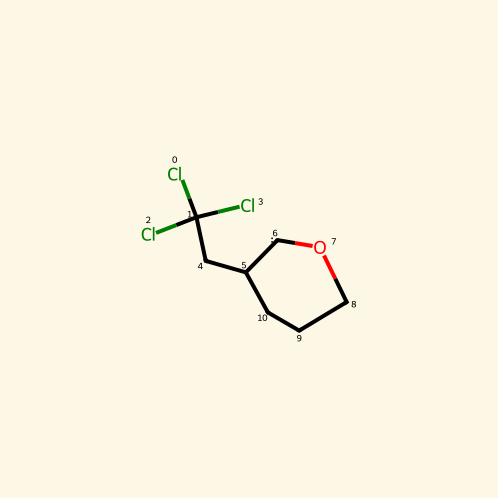 ClC(Cl)(Cl)CC1[C]OCCC1